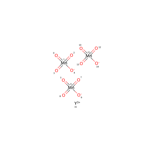 [O]=[Mn](=[O])(=[O])[O-].[O]=[Mn](=[O])(=[O])[O-].[O]=[Mn](=[O])(=[O])[O-].[Y+3]